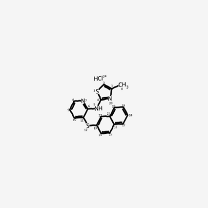 Cc1csc(Nc2ncccc2Sc2ccc3ccccc3c2)n1.Cl